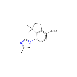 Cc1cn(-c2ccc(C=O)c3c2[Si](C)(C)CC3)cn1